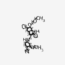 CCOCCOc1cc2[nH]c(=O)c(CNc3ccc(C#N)c(OC)c3)cc2cc1Cl